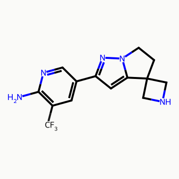 Nc1ncc(-c2cc3n(n2)CCC32CNC2)cc1C(F)(F)F